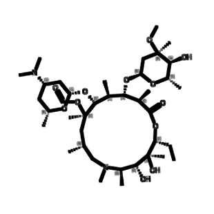 CC[C@H]1OC(=O)[C@H](C)[C@@H](O[C@H]2C[C@@](C)(OC)[C@@H](O)[C@H](C)O2)[C@H](C)[C@@H](O[C@H]2C[C@@H](N(C)C)C[C@@H](C)O2)[C@](C)(OC=O)C[C@@H](C)CN(C)[C@H](C)[C@@H](O)[C@]1(C)O